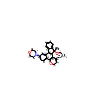 CCC1(OCC(F)(F)F)c2ccccc2-c2c1c1c(c3ccc(N4CCOCC4)cc23)OCC=C1OC